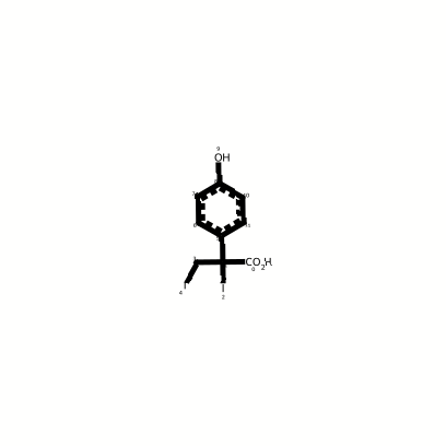 O=C(O)C(I)(CI)c1ccc(O)cc1